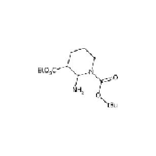 CCOC(=O)C1CCCN(C(=O)OC(C)(C)C)C1N